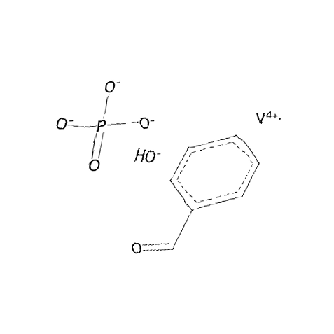 O=Cc1ccccc1.O=P([O-])([O-])[O-].[OH-].[V+4]